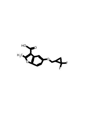 Cc1oc2ccc(OCC3CC3(F)F)cc2c1C(=O)O